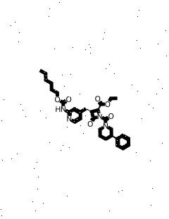 CCCCCCOC(=O)Nc1cc(C[C@H]2C(=O)N(C(=O)N3CCC[C@H](c4ccccc4)C3)[C@@H]2C(=O)OCC)ccn1